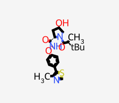 Cc1ncsc1-c1ccc(ONC(=O)[C@@H]2C[C@@H](O)CN2C(=O)[C@@H](C)C(C)(C)C)cc1